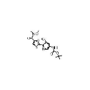 CON(C)C(=O)c1cnn(-c2ncc(NC(=O)OC(C)(C)C)cc2Cl)n1